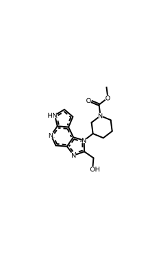 COC(=O)N1CCCC(n2c(CO)nc3cnc4[nH]ccc4c32)C1